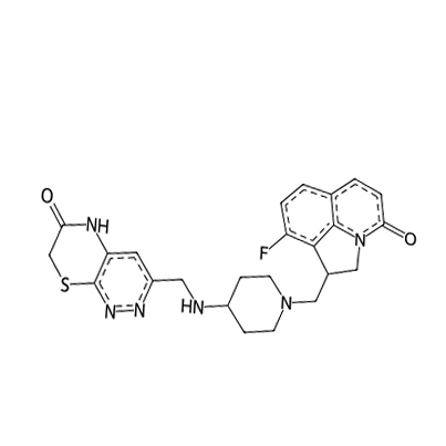 O=C1CSc2nnc(CNC3CCN(CC4Cn5c(=O)ccc6ccc(F)c4c65)CC3)cc2N1